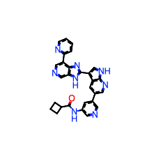 O=C(Nc1cncc(-c2cnc3[nH]cc(-c4nc5c(-c6ccccn6)cncc5[nH]4)c3c2)c1)C1CCC1